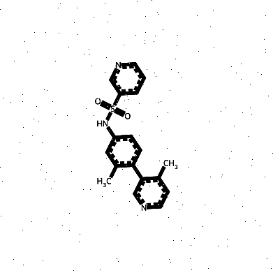 Cc1cc(NS(=O)(=O)c2cccnc2)ccc1-c1cnccc1C